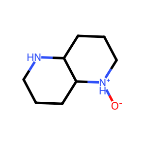 [O-][NH+]1CCCC2NCCCC21